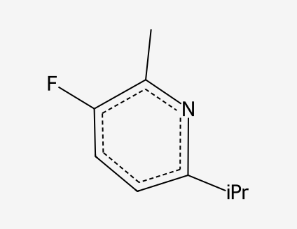 Cc1nc(C(C)C)ccc1F